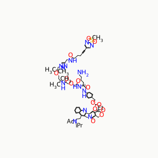 CC[C@@]1(OC(=O)OCc2ccc(NC(=O)[C@H](CCCCN)NC(=O)COCC(=O)NC(C)(C)CCOC(C)(C)Cn3cc(CNC(=O)CCCC#Cc4cnc(S(C)(=O)=O)nc4)nn3)cc2)C(=O)OCc2c1cc1n(c2=O)Cc2c-1nc1ccccc1c2CCN(C(C)=O)C(C)C